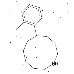 Cc1ccccc1C1CCCCCNCCC1